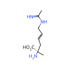 CC(=N)NC/C=C/C[C@@](C)(N)C(=O)O